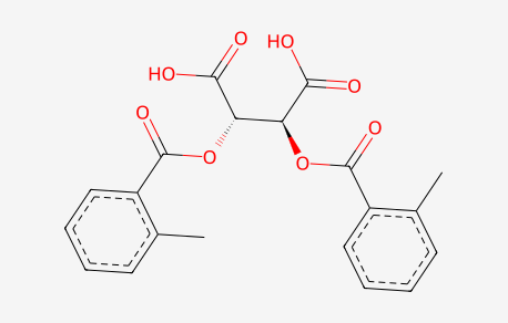 Cc1ccccc1C(=O)O[C@H](C(=O)O)[C@H](OC(=O)c1ccccc1C)C(=O)O